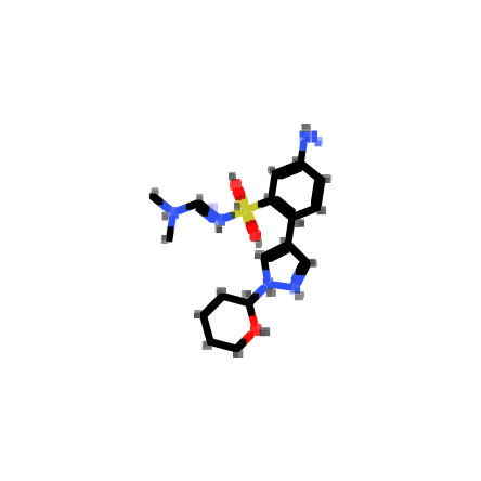 CN(C)/C=N/S(=O)(=O)c1cc(N)ccc1-c1cnn(C2CCCCO2)c1